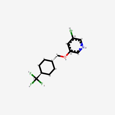 FC(F)(F)[C@H]1CC[C@H](COc2cncc(Br)c2)CC1